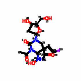 CC(=O)N1C(=O)N([C@H]2CC(O)[C@@H](CO)O2)CC(C=CI)(C(C)=O)C1NO